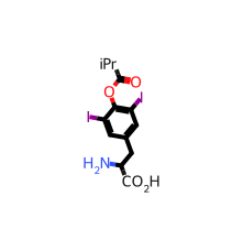 CC(C)C(=O)Oc1c(I)cc(CC(N)C(=O)O)cc1I